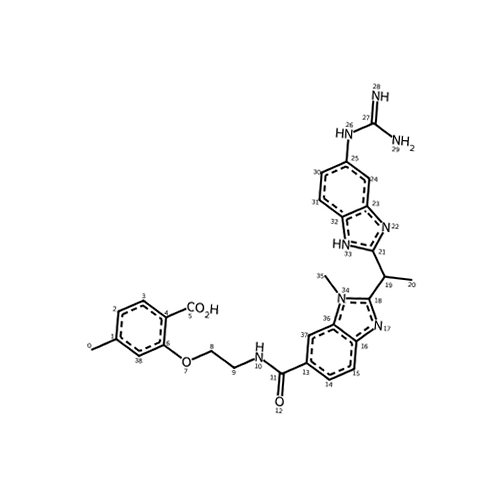 Cc1ccc(C(=O)O)c(OCCNC(=O)c2ccc3nc(C(C)c4nc5cc(NC(=N)N)ccc5[nH]4)n(C)c3c2)c1